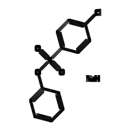 O=S(=O)(Oc1ccccc1)c1ccc(Cl)cc1.[NaH]